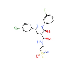 CS(=N)(=O)CCNC(=O)c1cc(-c2ccc(Cl)cc2)nn(-c2cccc(F)c2)c1=O